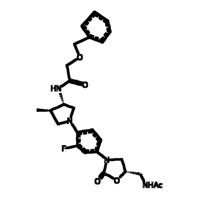 CC(=O)NC[C@H]1CN(c2ccc(N3C[C@@H](C)[C@H](NC(=O)COCc4ccccc4)C3)c(F)c2)C(=O)O1